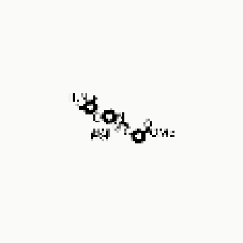 COC(=O)c1cccc(OCc2nc3ccc(Oc4cc(C)c(N)c(C)c4)cc3n2C)c1.Cl.Cl